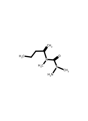 C=C(CCC)N(C)C(=O)N(C)N